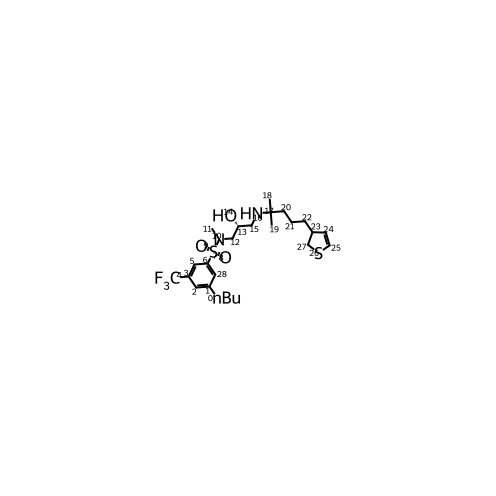 CCCCc1cc(C(F)(F)F)cc(S(=O)(=O)N(C)C[C@H](O)CNC(C)(C)CCCC2C=CSC2)c1